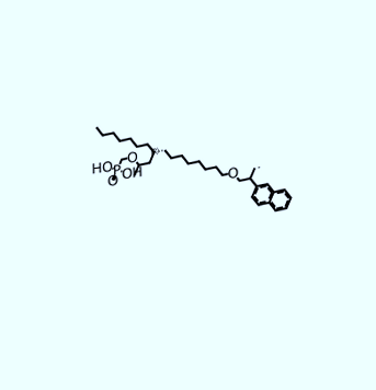 [CH2]C(COCCCCCCCC[C@@H](CCCCCCC)CC(C)OCP(=O)(O)O)c1ccc2ccccc2c1